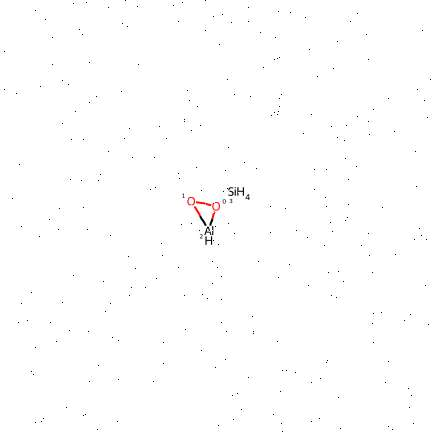 [O]1[O][AlH]1.[SiH4]